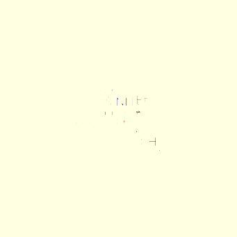 C=C[C@@H]1C[C@]1(CC)C(=O)NS(=O)(=O)Cc1ccccc1